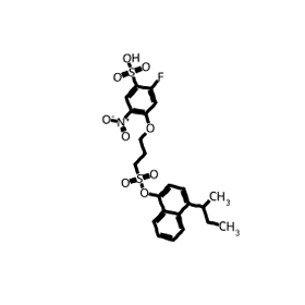 CCC(C)c1ccc(OS(=O)(=O)CCCOc2cc(F)c(S(=O)(=O)O)cc2[N+](=O)[O-])c2ccccc12